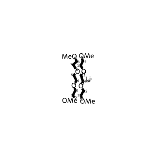 COCCOCCOCCOC.COCCOCCOCCOC.[Li]